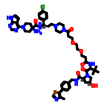 Cc1ncsc1-c1ccc(CNC(=O)[C@@H]2C[C@@H](O)CN2C(=O)C(NC(=O)CCOCCOCCC(=O)N2CCN(CC[C@H](NC(=O)C3(N)CCN(c4ncnc5[nH]ccc45)CC3)c3ccc(Cl)cc3)CC2)C(C)(C)C)cc1